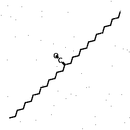 CCCCCCCCCCCCCCC(=C=O)CCCCCCCCCCCCCC